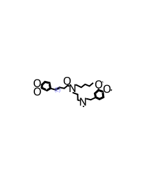 CCCCCN(CCCN(C)CCc1ccc(OC)c(OC)c1)C(=O)C/C=C/c1ccc2c(c1)OCO2